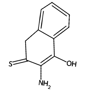 NC1=C(O)c2ccccc2CC1=S